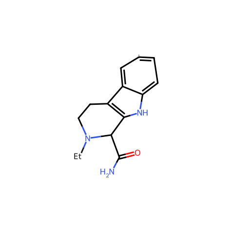 CCN1CCc2c([nH]c3cc[c]cc23)C1C(N)=O